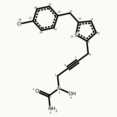 NC(=O)N(O)CC#CCc1ccc(Cc2ccc(Cl)cc2)s1